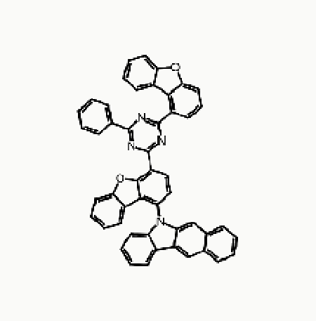 c1ccc(-c2nc(-c3ccc(-n4c5ccccc5c5cc6ccccc6cc54)c4c3oc3ccccc34)nc(-c3cccc4oc5ccccc5c34)n2)cc1